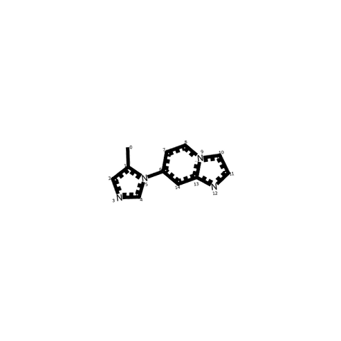 Cc1cncn1-c1ccn2ccnc2c1